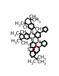 Cc1cc2c(cc1N1c3cc4c(cc3B3c5cc6sc7ccc(C(C)(C)C)cc7c6cc5N(c5ccccc5-c5ccccc5)c5cc(-c6ccccc6)cc1c53)C(C)(C)CC4(C)C)C(C)(C)CCC2(C)C